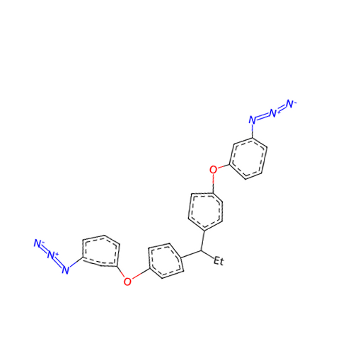 CCC(c1ccc(Oc2cccc(N=[N+]=[N-])c2)cc1)c1ccc(Oc2cccc(N=[N+]=[N-])c2)cc1